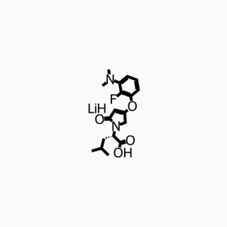 CC(C)C[C@@H](C(=O)O)N1CC(Oc2cccc(N(C)C)c2F)=CC1=O.[LiH]